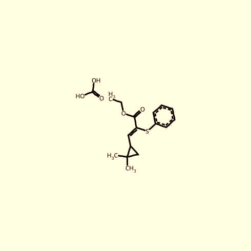 CCOC(=O)/C(=C/C1CC1(C)C)Sc1ccccc1.O=C(O)O